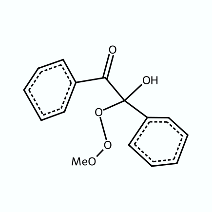 COOOC(O)(C(=O)c1ccccc1)c1ccccc1